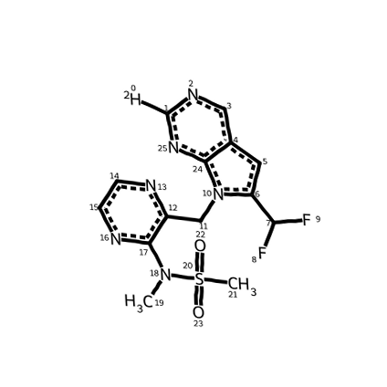 [2H]c1ncc2cc(C(F)F)n(Cc3nccnc3N(C)S(C)(=O)=O)c2n1